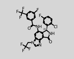 O=C(Nc1cc2c(ncn2CC(F)(F)F)c2c1[C@@H](c1cc(F)ccc1Cl)NC2=O)c1cc(F)cc(C(F)(F)F)c1